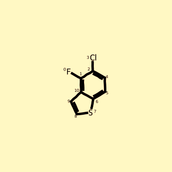 Fc1c(Cl)ccc2sc[c]c12